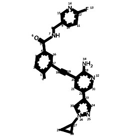 Cc1ccc(C(=O)NCc2ccc(F)nc2)cc1C#Cc1cc(-c2cnn(C3CC3)c2)cnc1N